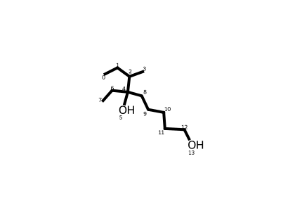 CCC(C)C(O)(CC)CCCCCO